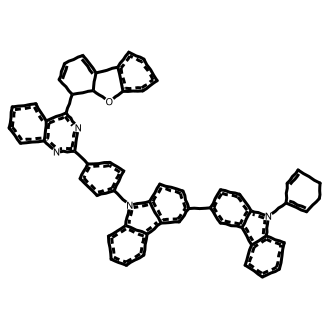 C1=CC(c2nc(-c3ccc(-n4c5ccccc5c5cc(-c6ccc7c(c6)c6ccccc6n7C6=CCCC=C6)ccc54)cc3)nc3ccccc23)C2Oc3ccccc3C2=C1